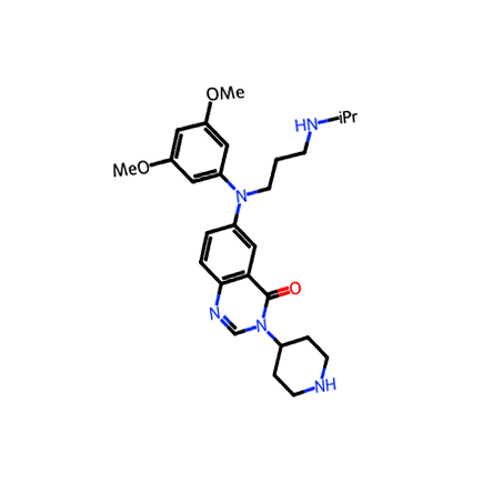 COc1cc(OC)cc(N(CCCNC(C)C)c2ccc3ncn(C4CCNCC4)c(=O)c3c2)c1